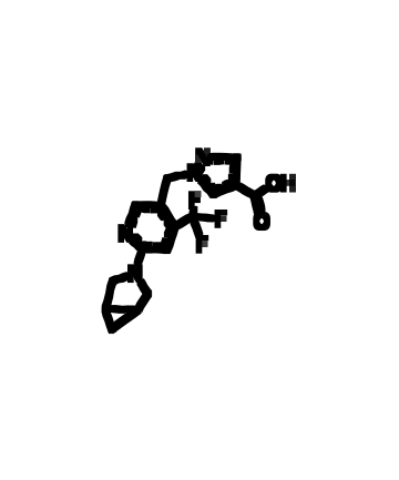 O=C(O)c1cnn(Cc2cnc(N3CC4CC4C3)cc2C(F)(F)F)c1